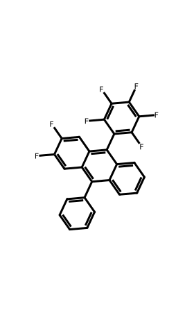 Fc1cc2c(-c3ccccc3)c3ccccc3c(-c3c(F)c(F)c(F)c(F)c3F)c2cc1F